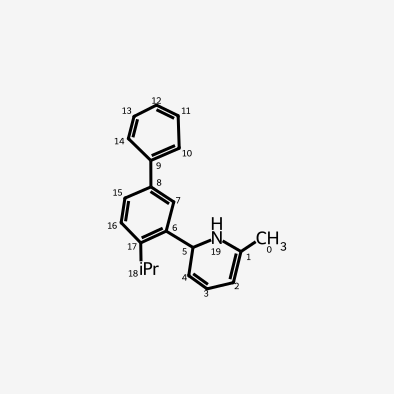 CC1=CC=CC(c2cc(-c3ccccc3)ccc2C(C)C)N1